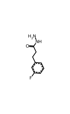 NNC(=O)CCc1cccc(F)c1